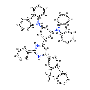 CC1(C)c2ccccc2-c2ccc(-c3cc(-c4cc(-n5c6ccccc6c6ccccc65)cc(-n5c6ccccc6c6ccccc65)c4)nc(-c4ccccc4)n3)cc21